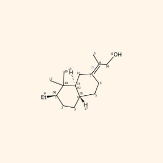 CC[C@@H]1CC[C@H]2CC/C(=C(/C)CO)C[C@@H]2C1(C)C